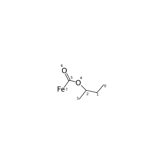 CCC(C)O[C](=O)[Fe]